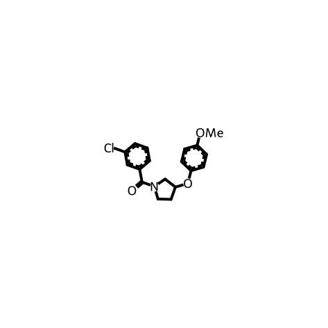 COc1ccc(OC2CCN(C(=O)c3cccc(Cl)c3)C2)cc1